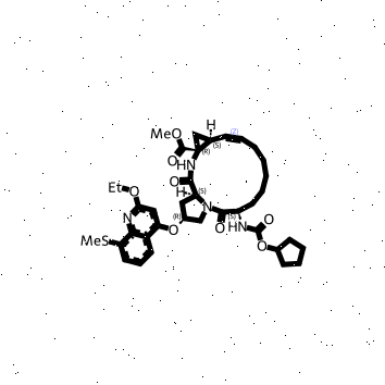 CCOc1cc(O[C@@H]2C[C@H]3C(=O)N[C@]4(C(=O)OC)C[C@H]4/C=C\CCCCC[C@H](NC(=O)OC4CCCC4)C(=O)N3C2)c2cccc(SC)c2n1